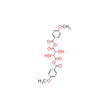 COc1ccc(C(=O)OC(=O)C(O)C(O)C(=O)OC(=O)c2ccc(OC)cc2)cc1